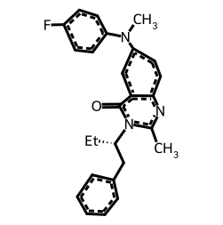 CC[C@@H](Cc1ccccc1)n1c(C)nc2ccc(N(C)c3ccc(F)cc3)cc2c1=O